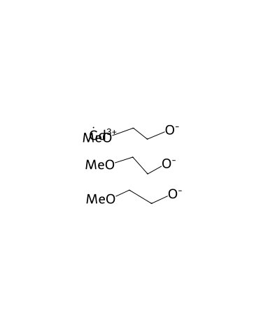 COCC[O-].COCC[O-].COCC[O-].[Gd+3]